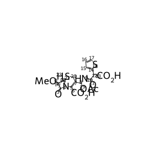 CO[C@@H]1C(=O)N2C(C(=O)O)=C(C(NC(=O)C(C(=O)O)c3cccs3)OC(C)=O)CS[C@H]12